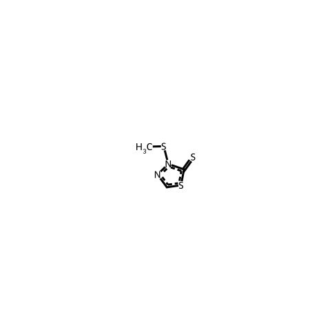 CSn1ncsc1=S